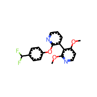 COc1ccnc(OC)c1-c1cccnc1Oc1ccc(C(F)F)cc1